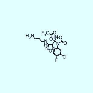 NCCCNc1nonc1C1(OC(=O)C(F)(F)F)NOC(=O)N1c1ccc(F)c(Cl)c1